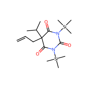 C=CCC1(C(C)C)C(=O)N([Si](C)(C)C)C(=O)N([Si](C)(C)C)C1=O